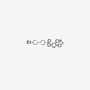 CC[C@H]1CC[C@H]([C@H]2CC[C@H](C(=O)Oc3ccc(Cl)c(C)c3)CC2)CC1